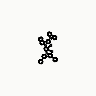 N#Cc1c(-n2c3ccc(-c4ccccc4)cc3c3cc(-c4ccccc4)ccc32)ccc(-n2c3ccc(N4c5ccccc5C5C=CC=CC54)cc3c3c4ccccc4ccc32)c1C#N